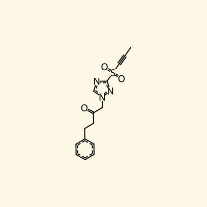 CC#CS(=O)(=O)c1ncn(CC(=O)CCc2ccccc2)n1